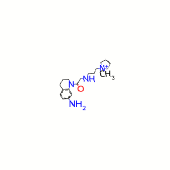 C[N+]1(CCCNCC(=O)N2CCCc3ccc(N)cc32)CCCC1